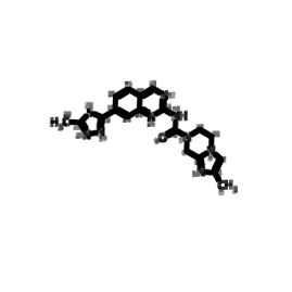 Cc1cn2c(n1)CN(C(=O)Nc1ncc3ccc(-c4nnc(C)s4)cc3n1)CC2